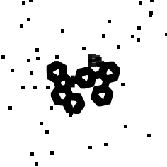 CCc1cccc(-c2ccccc2)c1-c1ccc(-n2c3ccccc3c3ccc4ccccc4c32)cc1